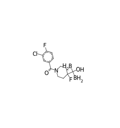 BC(B)(O)C1(F)CCN(C(=O)c2ccc(F)c(Cl)c2)CC1